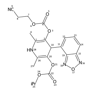 CC1=C(OC(=O)OCCC#N)C(c2cccc3nonc23)C(OC(=O)OC(C)C)=C(C)N1